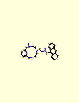 C1=Cc2c(cc3ccccc3c2CNCCN2CCNCc3cccc(n3)CNCC2)CC1